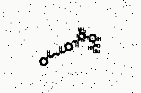 CC(C)(C)NC(=O)[C@@H]1CN(c2cc(N)nc(NC[C@H]3CC[C@H](CNCCCNC4CCCCC4)CC3)n2)CCN1